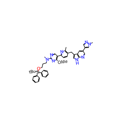 COc1nc(N(C)CCCO[Si](c2ccccc2)(c2ccccc2)C(C)(C)C)ncc1-c1ccc(Cc2c[nH]c3ncc(-c4cnn(C)c4)cc23)c(C)n1